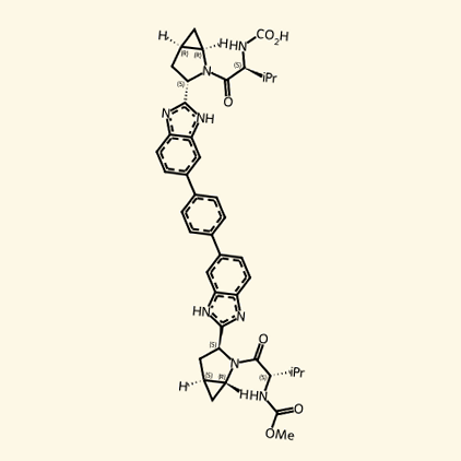 COC(=O)N[C@H](C(=O)N1[C@@H]2C[C@H]2C[C@H]1c1nc2ccc(-c3ccc(-c4ccc5nc([C@@H]6C[C@H]7C[C@H]7N6C(=O)[C@@H](NC(=O)O)C(C)C)[nH]c5c4)cc3)cc2[nH]1)C(C)C